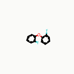 Fc1ccc[c]c1Oc1ccccc1F